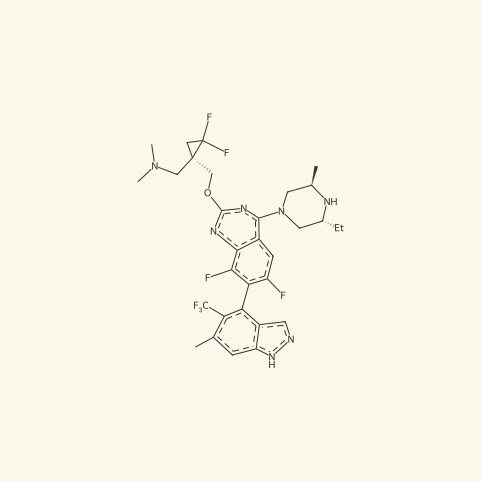 CC[C@@H]1CN(c2nc(OC[C@]3(CN(C)C)CC3(F)F)nc3c(F)c(-c4c(C(F)(F)F)c(C)cc5[nH]ncc45)c(F)cc23)C[C@@H](C)N1